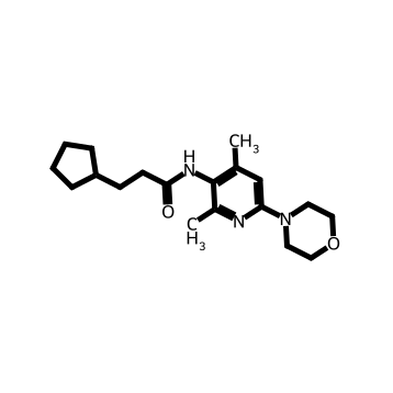 Cc1cc(N2CCOCC2)nc(C)c1NC(=O)CCC1CCCC1